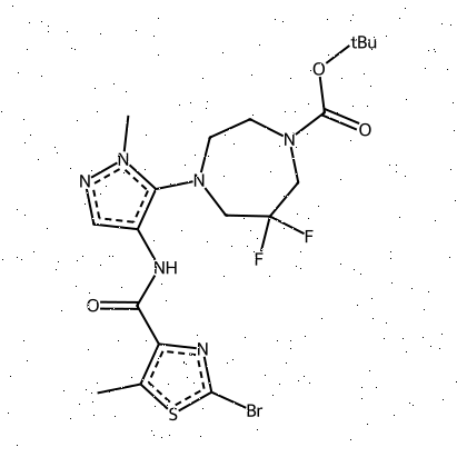 Cc1sc(Br)nc1C(=O)Nc1cnn(C)c1N1CCN(C(=O)OC(C)(C)C)CC(F)(F)C1